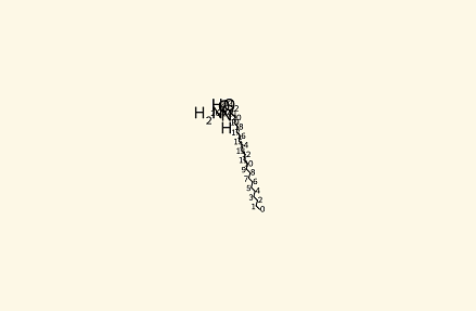 CCCCCCCCCCCCCCCCCCCCCC(CO)NC(N)=O